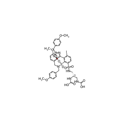 COc1ccc(CN(Cc2ccc(OC)cc2)S(=O)(=O)c2c(S(=O)(=O)NC[C@H](CNC(=O)O)NC(=O)O)ccc(I)c2-c2nnn(Cc3ccc(OC)cc3)n2)cc1